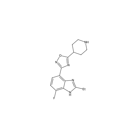 CCc1nc2c(-c3noc(C4CCNCC4)n3)ccc(F)c2[nH]1